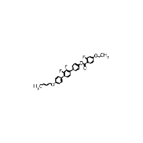 CCCCOc1ccc(-c2ccc(-c3ccc(OC(=O)c4ccc(OCC)cc4F)cc3)c(F)c2F)cc1